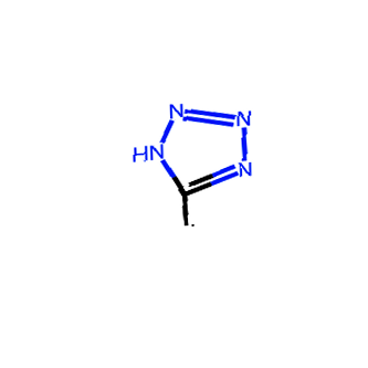 [CH2]c1nnn[nH]1